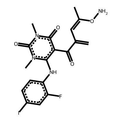 C=C(/C=C(/C)ON)C(=O)c1c(Nc2ccc(I)cc2F)n(C)c(=O)n(C)c1=O